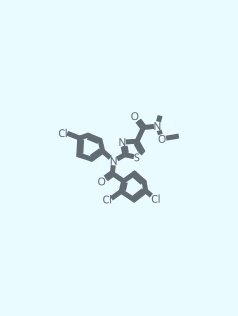 CON(C)C(=O)c1csc(N(C(=O)c2ccc(Cl)cc2Cl)c2ccc(Cl)cc2)n1